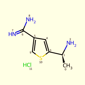 C[C@H](N)c1cc(C(=N)N)cs1.Cl